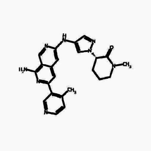 Cc1ccncc1-c1cc2cc(Nc3cnn([C@H]4CCCN(C)C4=O)c3)ncc2c(N)n1